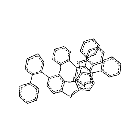 c1ccc(-c2ccccc2-c2ccc3c(c2-c2ccccc2-c2nnnc(-c4ccccc4)c2-c2ccccc2)-c2c4c(ccc2=N3)=c2ccccc2=N4)cc1